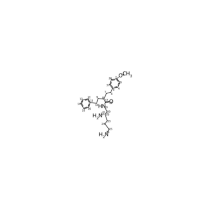 COc1ccc(CCC(CCc2ccccc2)C(=O)NC[C@@H](N)CCCN)cc1